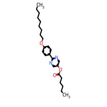 CCCCCCCCCOc1ccc(-c2ncc(OC(=O)CCCCC)cn2)cc1